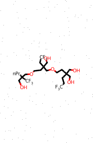 CCCC(CO)(COCCC(CO)(COCCC(CO)(CO)CCC(F)(F)F)CC(F)(F)F)C(F)(F)F